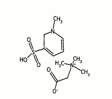 CN1C=CC=C(S(=O)(=O)O)C1.C[N+](C)(C)CC(=O)[O-]